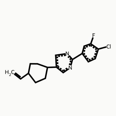 C=CC1CCC(c2cnc(-c3ccc(Cl)c(F)c3)nc2)CC1